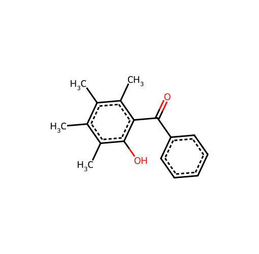 Cc1c(C)c(C)c(C(=O)c2ccccc2)c(O)c1C